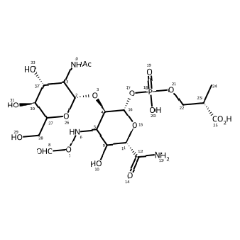 CC(=O)NC1[C@H](O[C@@H]2C(NOC=O)C(O)[C@@H](C(N)=O)O[C@H]2OP(=O)(O)OC[C@H](C)C(=O)O)OC(CO)[C@@H](O)[C@@H]1O